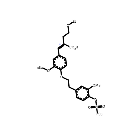 CCCCOc1cc(/C=C(/CCOCC)C(=O)O)ccc1OCCc1ccc(OS(=O)(=O)CCCC)c(OC)c1